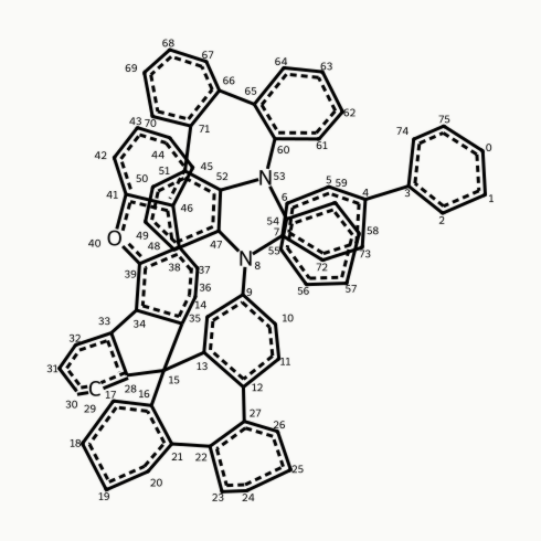 c1ccc(-c2ccc(N(c3ccc4c(c3)C3(c5ccccc5-c5ccccc5-4)c4ccccc4-c4c3ccc3c4oc4ccccc43)c3cccc4c3N(c3ccccc3)c3ccccc3-c3ccccc3-4)cc2)cc1